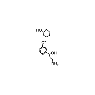 NCC[C@@H](O)c1cccc(OC[C@H]2CCC[C@@H](O)C2)c1